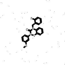 CSc1cccc(N2Sc3ccccc3N(Cc3ccccc3F)C2=O)c1